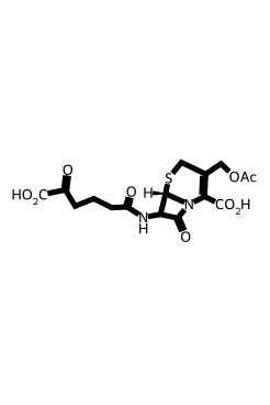 CC(=O)OCC1=C(C(=O)O)N2C(=O)C(NC(=O)CCCC(=O)C(=O)O)[C@@H]2SC1